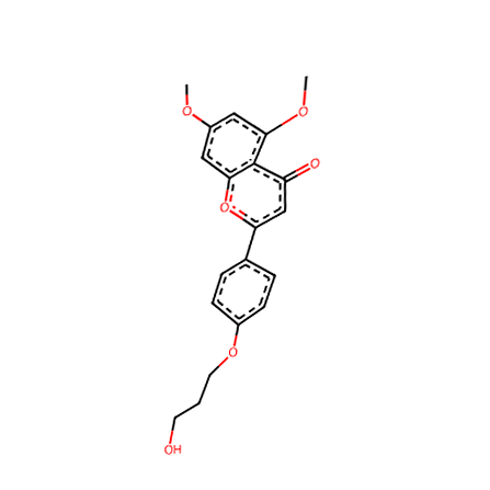 COc1cc(OC)c2c(=O)cc(-c3ccc(OCCCO)cc3)oc2c1